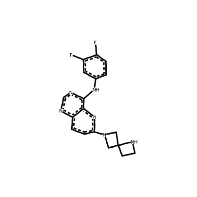 Fc1ccc(Nc2ncnc3ccc(N4CC5(CCN5)C4)nc23)cc1F